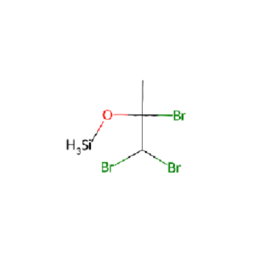 CC(Br)(O[SiH3])C(Br)Br